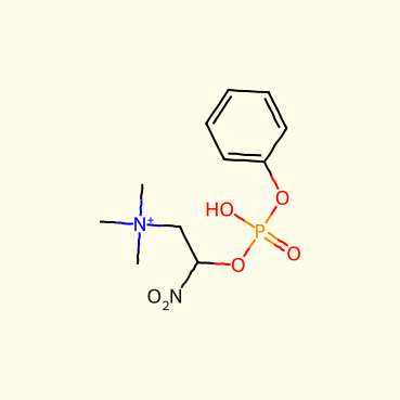 C[N+](C)(C)CC(OP(=O)(O)Oc1ccccc1)[N+](=O)[O-]